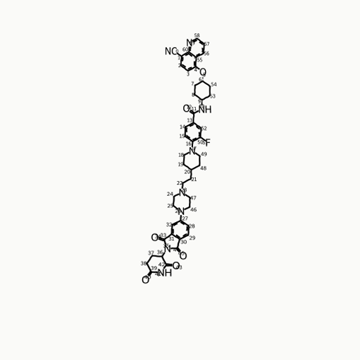 N#Cc1ccc(O[C@H]2CC[C@H](NC(=O)c3ccc(N4CCC(CCN5CCN(c6ccc7c(c6)C(=O)N(C6CCC(=O)NC6=O)C7=O)CC5)CC4)c(F)c3)CC2)c2cccnc12